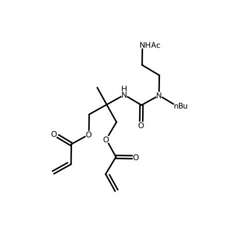 C=CC(=O)OCC(C)(COC(=O)C=C)NC(=O)N(CCCC)CCNC(C)=O